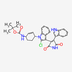 CC(C)(C)OC(=O)N[C@H]1C=CC(n2c(Cl)c(C3=C(c4c[nH]c5ccccc45)C(=O)NC3=O)c3ccccc32)CC1